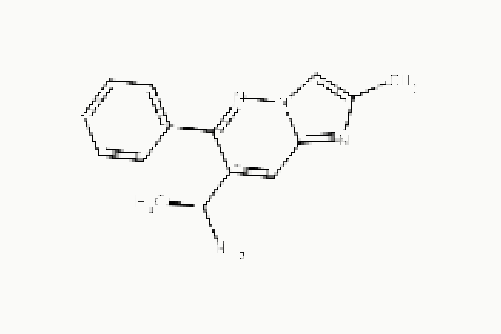 Cc1cn2nc(-c3ccccc3)c([C@H](C)N)cc2n1